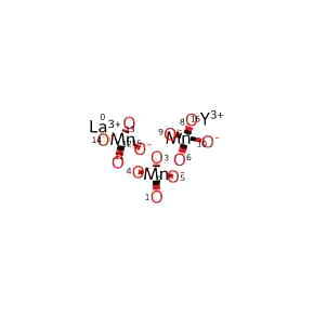 [La+3].[O]=[Mn](=[O])([O-])[O-].[O]=[Mn](=[O])([O-])[O-].[O]=[Mn](=[O])([O-])[O-].[Y+3]